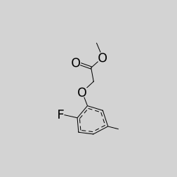 COC(=O)COc1cc(C)ccc1F